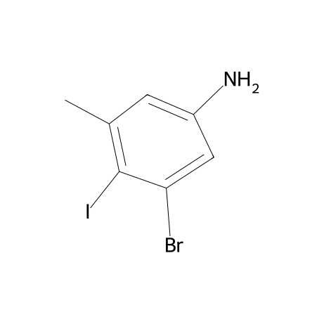 Cc1cc(N)cc(Br)c1I